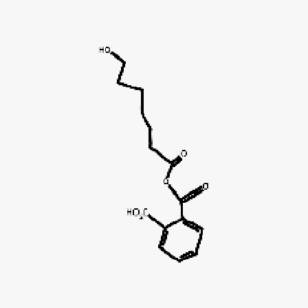 O=C(CCCCCCO)OC(=O)c1ccccc1C(=O)O